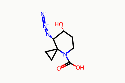 [N-]=[N+]=N[C@H]1[C@H](O)CCN(C(=O)O)C12CC2